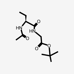 CC[C@H](NC(C)=O)C(=O)NCC(=O)OC(C)(C)C